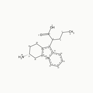 CCCC(C(=O)O)c1c2c(n3ccccc13)C[C@H](N)CC2